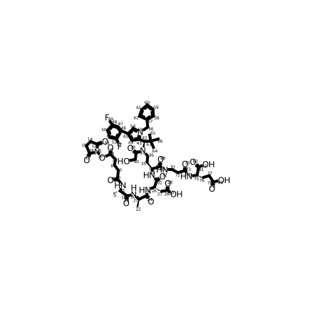 C[C@H](NC(=O)CCCC(=O)ON1C(=O)CCC1=O)C(=O)N[C@H](C)C(=O)N[C@@H](CC(=O)O)C(=O)N[C@@H](CCN(C(=O)CO)[C@@H](c1cc(-c2cc(F)ccc2F)cn1Cc1ccccc1)C(C)(C)C)C(=O)NCCC(=O)N[C@@H](CCC(=O)O)C(=O)O